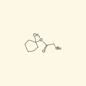 CC(C)(C)CC(=O)OC1(C)CCCCC1